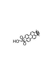 CC(=O)c1ccc2c3ccc4c5c(ccc(c6ccc(C(C)=O)c1c26)c53)C(=O)N(CCO)C4=O